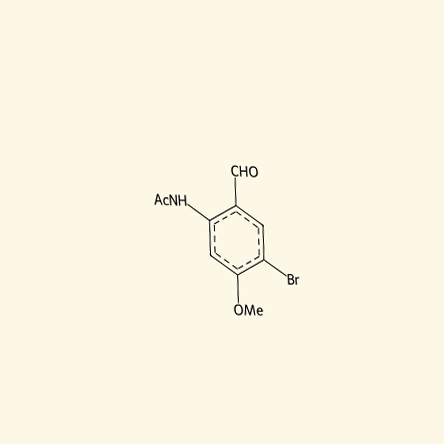 COc1cc(NC(C)=O)c(C=O)cc1Br